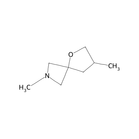 CC1COC2(C1)CN(C)C2